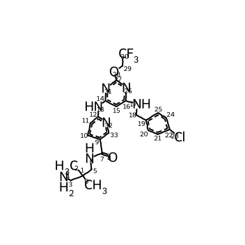 CC(C)(CN)CNC(=O)c1ccc(Nc2cc(NCc3ccc(Cl)cc3)nc(OCC(F)(F)F)n2)nc1